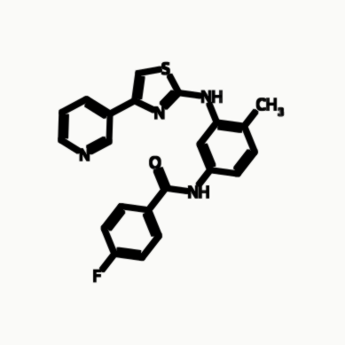 Cc1ccc(NC(=O)c2ccc(F)cc2)cc1Nc1nc(-c2cccnc2)cs1